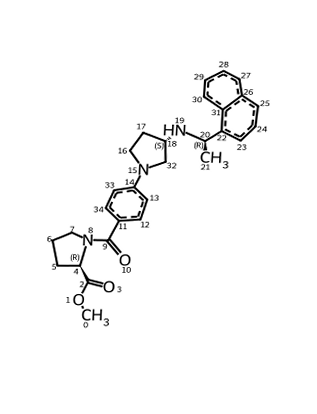 COC(=O)[C@H]1CCCN1C(=O)c1ccc(N2CC[C@H](N[C@H](C)c3cccc4ccccc34)C2)cc1